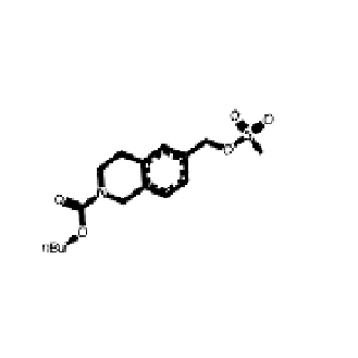 CCCCOC(=O)N1CCc2cc(COS(C)(=O)=O)ccc2C1